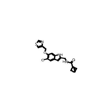 O=C(NCc1cc2cc(Cl)c(OCc3cscn3)cc2[nH]1)C12CC(C1)C2